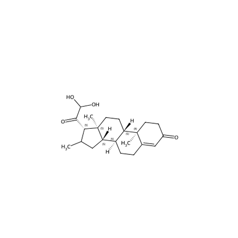 CC1C[C@H]2[C@@H]3CCC4=CC(=O)CC[C@]4(C)[C@H]3CC[C@]2(C)[C@H]1C(=O)C(O)O